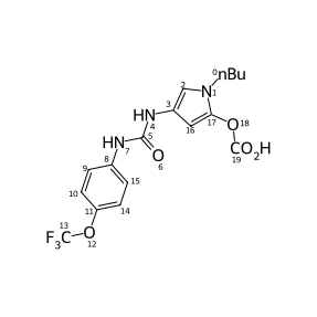 CCCCn1cc(NC(=O)Nc2ccc(OC(F)(F)F)cc2)cc1OC(=O)O